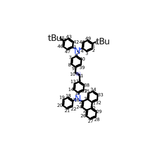 CC(C)(C)c1ccc(N(c2ccc(/C=C/c3ccc(N(c4ccccc4)c4cc5ccccc5c5ccccc45)cc3)cc2)c2ccc(C(C)(C)C)cc2)cc1